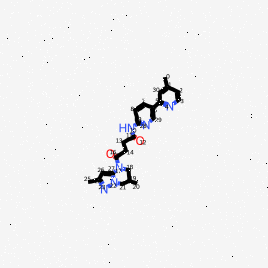 Cc1ccnc(-c2ccc(NC(=O)CCC(=O)N3CC(C)Cn4nc(C)cc43)nc2)c1